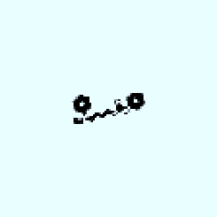 CCN(CCCCOC(=O)Oc1ccccc1)c1ccccc1